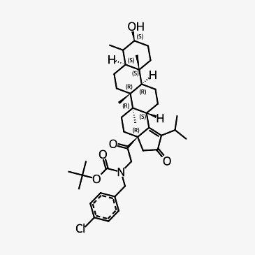 CC(C)C1=C2[C@H]3CC[C@@H]4[C@@]5(C)CC[C@H](O)C(C)[C@@H]5CC[C@@]4(C)[C@]3(C)CC[C@@]2(C(=O)CN(Cc2ccc(Cl)cc2)C(=O)OC(C)(C)C)CC1=O